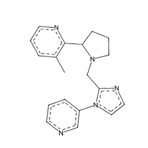 Cc1cccnc1C1CCCN1Cc1nccn1-c1cccnc1